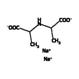 CC(NC(C)C(=O)[O-])C(=O)[O-].[Na+].[Na+]